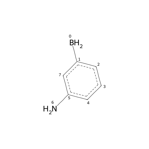 Bc1cccc(N)c1